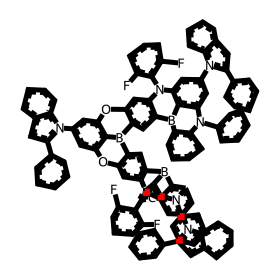 Fc1cccc(F)c1N1c2cc3c(cc2B2c4ccccc4N(c4ccccc4)c4cc(-n5c(-c6ccccc6)cc6ccccc65)cc1c42)B1c2cc4c(cc2Oc2cc(-n5c(-c6ccccc6)cc6ccccc65)cc(c21)O3)N(c1c(F)cccc1F)c1cc(-n2c(-c3ccccc3)cc3ccccc32)cc2c1B4c1ccccc1N2c1ccccc1